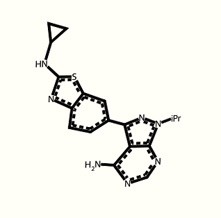 CC(C)n1nc(-c2ccc3nc(NC4CC4)sc3c2)c2c(N)ncnc21